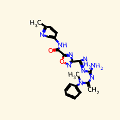 C=C(/N=C(N)\N=C(/N)c1noc(C(=O)Nc2ccc(C)nc2)n1)N(C)c1ccccc1